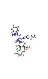 CCOC(=O)c1c(CNc2ccccc2)n(C)c2cc(-c3ccccc3)c(O)cc12